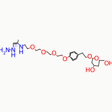 C/C(=C/NN)NCCOCCOCCOCCOc1ccc(CCOC2CC(O)CC(CO)O2)cc1